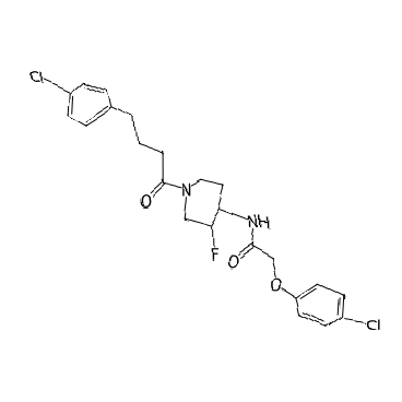 O=C(COc1ccc(Cl)cc1)NC1CCN(C(=O)CCCc2ccc(Cl)cc2)CC1F